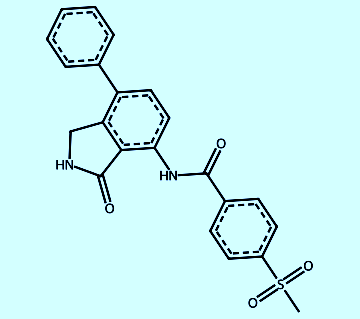 CS(=O)(=O)c1ccc(C(=O)Nc2ccc(-c3ccccc3)c3c2C(=O)NC3)cc1